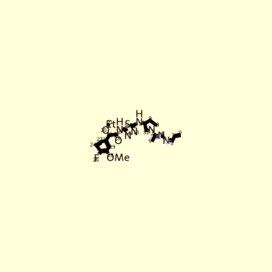 C=C/C=N\N=C(/C)N1CCC(Nc2nnc(NC(=O)[C@H](OCC)c3ccc(F)c(OC)c3)s2)C1